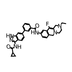 CCN1CCN2Cc3ccc(NC(=O)c4cccc(-c5ccc6c(NC(=O)C7CC7)n[nH]c6c5)c4)cc3C(F)=C2C1